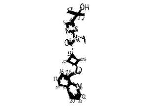 CC(C)(O)c1cnc(NC(=O)[C@H]2C[C@H](Oc3cccc4cccnc34)C2)s1